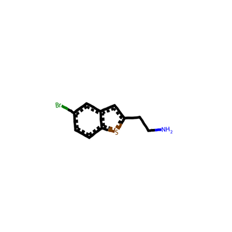 NCCc1cc2cc(Br)ccc2s1